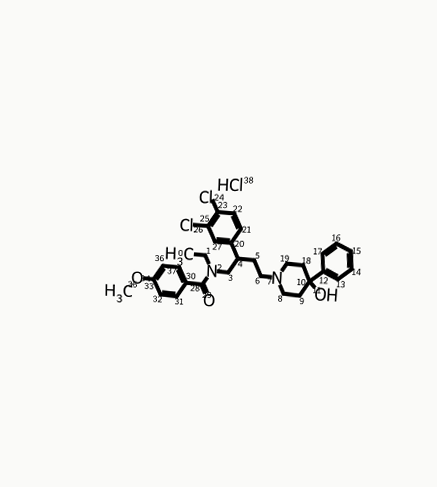 CCN(CC(CCN1CCC(O)(c2ccccc2)CC1)c1ccc(Cl)c(Cl)c1)C(=O)c1ccc(OC)cc1.Cl